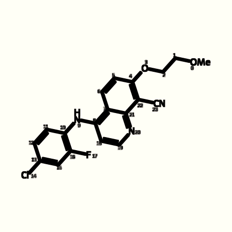 COCCOc1ccc2c(Nc3ccc(Cl)cc3F)ccnc2c1C#N